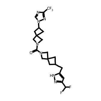 O=C(N1CC2(CC(Cc3cc(C(F)F)n[nH]3)C2)C1)N1CC2(CC(n3cnc(C(F)(F)F)n3)C2)C1